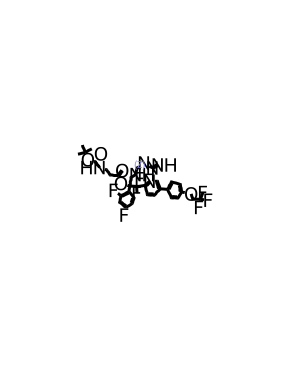 CC(C)(C)OC(=O)NCCC(=O)OC(CN/C=N\N=N)(c1ccc(F)cc1F)C(F)(F)c1ccc(-c2ccc(OCC(F)(F)F)cc2)cn1